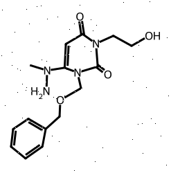 CN(N)c1cc(=O)n(CCO)c(=O)n1COCc1ccccc1